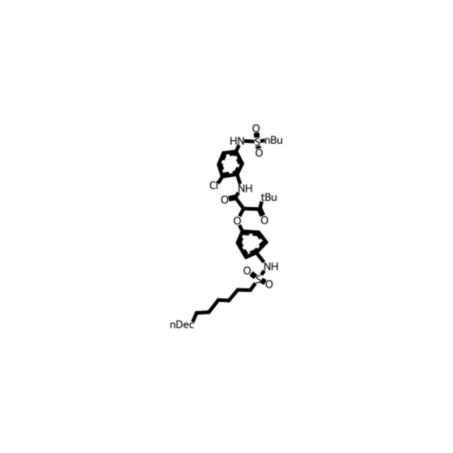 CCCCCCCCCCCCCCCCS(=O)(=O)Nc1ccc(OC(C(=O)Nc2cc(NS(=O)(=O)CCCC)ccc2Cl)C(=O)C(C)(C)C)cc1